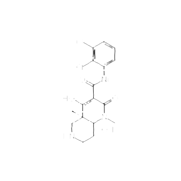 CN1C(=O)C(C(=O)Nc2cccc(Cl)c2Cl)=C(O)[C@@]2(C)CNCC[C@]12O